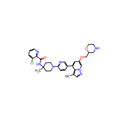 CC1(NC(=O)c2ncccc2Cl)CCN(c2ccc(-c3cc(OCC4CNCCO4)cn4ncc(C#N)c34)cn2)CC1